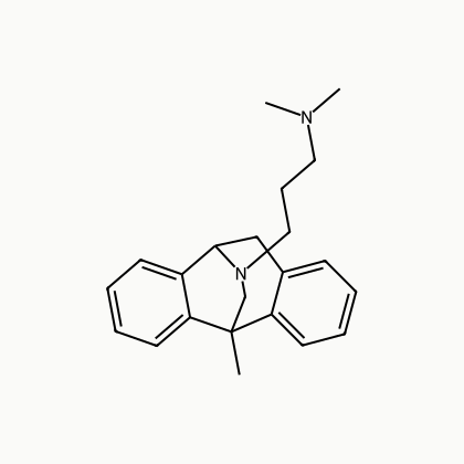 CN(C)CCCN1CC2(C)c3ccccc3CC1c1ccccc12